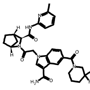 Cc1cccc(NC(=O)[C@@H]2[C@H]3CC[C@H](C3)N2C(=O)Cn2cc(C(N)=O)c3cc(C(=O)N4CCCC(F)(F)C4)ccc32)n1